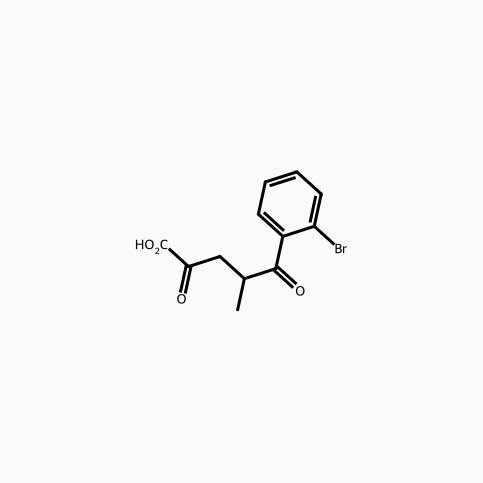 CC(CC(=O)C(=O)O)C(=O)c1ccccc1Br